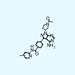 CC(=O)N1CC[C@@H](n2nc(-c3ccc(C(=O)Nc4cc(C)ccn4)cc3)c3c(N)ncnc32)C1